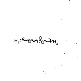 COCCOCCCOC(=O)OCCOC